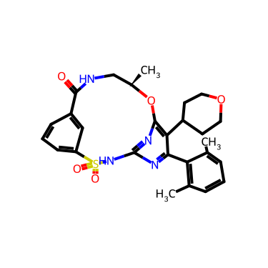 Cc1cccc(C)c1-c1nc2nc(c1C1CCOCC1)O[C@H](C)CNC(=O)c1cccc(c1)S(=O)(=O)N2